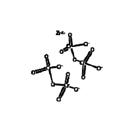 [O]=[Cr](=[O])([O-])[O][Cr](=[O])(=[O])[O-].[O]=[Cr](=[O])([O-])[O][Cr](=[O])(=[O])[O-].[Zr+4]